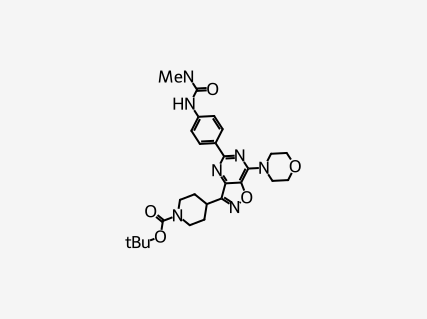 CNC(=O)Nc1ccc(-c2nc(N3CCOCC3)c3onc(C4CCN(C(=O)OC(C)(C)C)CC4)c3n2)cc1